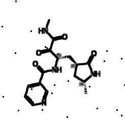 CNC(=O)C(=O)[C@H](C[C@@H]1C[C@@H](C)NC1=O)NC(=O)c1cccnc1